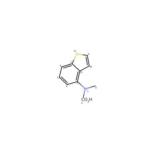 CN(C(=O)O)c1cccc2sccc12